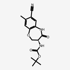 Cc1cc2c(cc1C#N)NC(=O)[C@@H](NC(=O)OC(C)(C)C)CO2